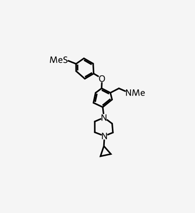 CNCc1cc(N2CCN(C3CC3)CC2)ccc1Oc1ccc(SC)cc1